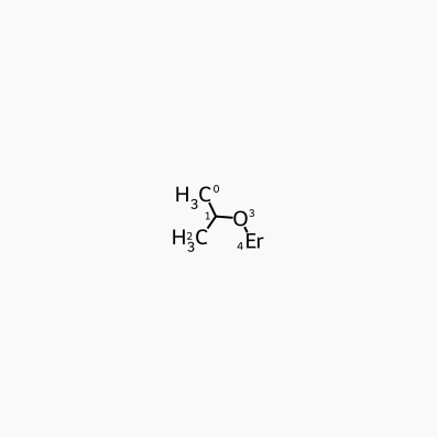 CC(C)[O][Er]